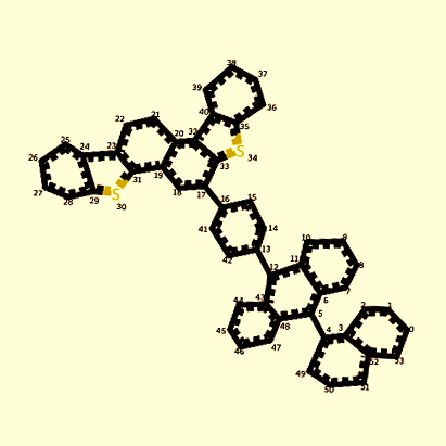 c1ccc2c(-c3c4ccccc4c(-c4ccc(-c5cc6c(ccc7c8ccccc8sc76)c6c5sc5ccccc56)cc4)c4ccccc34)cccc2c1